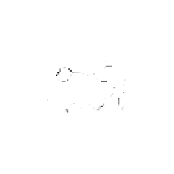 COC(=O)CCC/C=C\CC1C(O)CC(C)[C@@H]1/C=C/C(CCc1ccccc1)O[Si](C)(C)C(C)(C)C